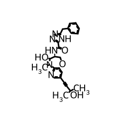 CN1c2ncc(C#CC(C)(C)O)cc2OC[C@H](NC(=O)c2nnc(Cc3ccccc3)[nH]2)C1O